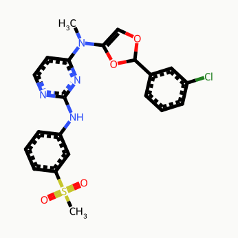 CN(C1=COC(c2cccc(Cl)c2)O1)c1ccnc(Nc2cccc(S(C)(=O)=O)c2)n1